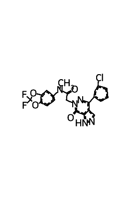 CN(C(=O)Cn1nc(-c2cccc(Cl)c2)c2cn[nH]c2c1=O)c1ccc2c(c1)OC(F)(F)O2